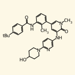 Cc1c(NC(=O)c2ccc(C(C)(C)C)cc2)cccc1-c1cc(Nc2ccc(N3CCC(O)CC3)nc2)c(=O)n(C)c1